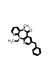 CCN1c2ncc(Cc3ccccc3)cc2C(=O)N(C)c2cccnc21